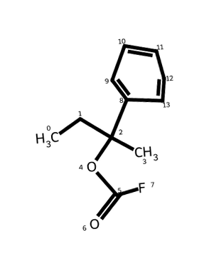 CCC(C)(OC(=O)F)c1ccccc1